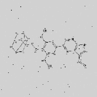 COc1cc(-c2cnc3[nH]cc(C=O)c3n2)cc(OC)c1OCC12CC3CC(CC(C3)C1)C2